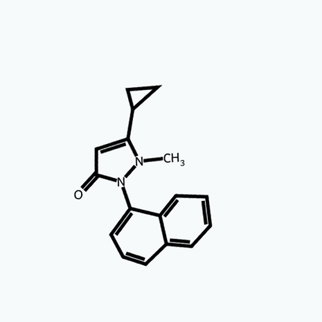 Cn1c(C2CC2)cc(=O)n1-c1cccc2ccccc12